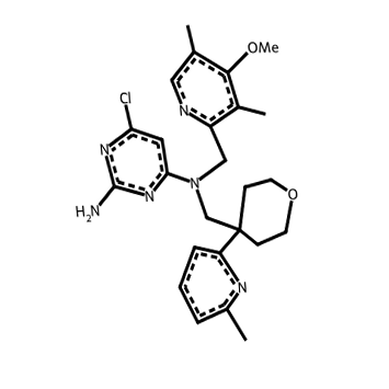 COc1c(C)cnc(CN(CC2(c3cccc(C)n3)CCOCC2)c2cc(Cl)nc(N)n2)c1C